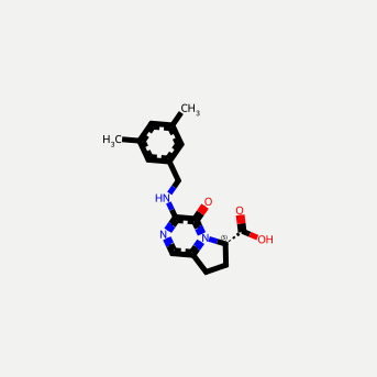 Cc1cc(C)cc(CNc2ncc3n(c2=O)[C@H](C(=O)O)CC3)c1